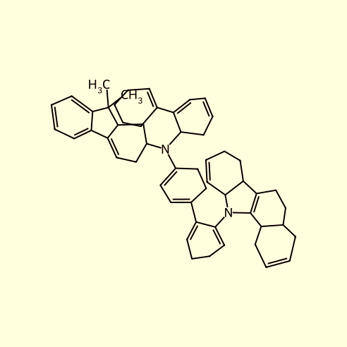 CC1(C)c2ccccc2C2=CCC(N(C3=CC=C(C4=CCCC=C4N4C5=C(CCC6CC=CCC56)C5CCC=CC54)CC3)C3CC=CC=C3C3=CCCCC3)CC21